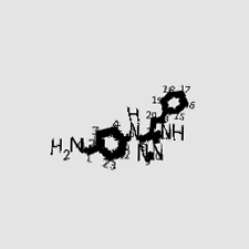 NCc1ccc(Nc2ncnc3[nH]c(-c4ccccc4)cc23)cc1